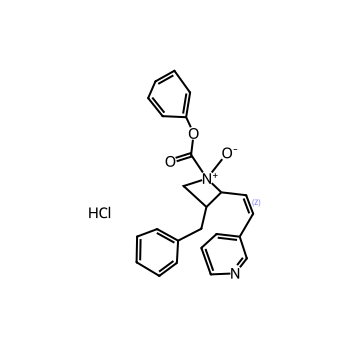 Cl.O=C(Oc1ccccc1)[N+]1([O-])CC(Cc2ccccc2)C1/C=C\c1cccnc1